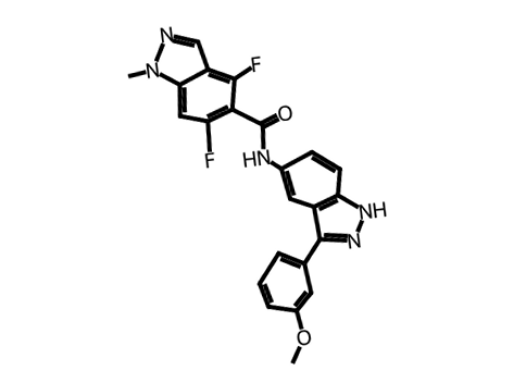 COc1cccc(-c2n[nH]c3ccc(NC(=O)c4c(F)cc5c(cnn5C)c4F)cc23)c1